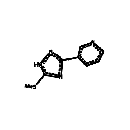 CSc1nc(-c2cccnc2)n[nH]1